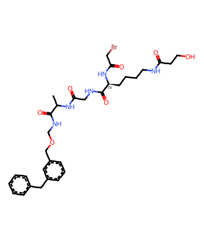 CC(NC(=O)CNC(=O)[C@H](CCCCNC(=O)CCO)NC(=O)CBr)C(=O)NCOCc1cccc(Cc2ccccc2)c1